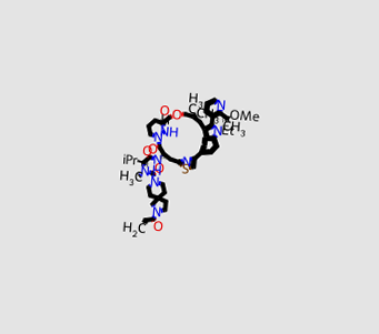 C=CC(=O)N1CCC2(CCN(C(=O)N(C)[C@H](C(=O)N[C@H]3Cc4nc(cs4)-c4ccc5c(c4)c(c(-c4cccnc4[C@H](C)OC)n5CC)CC(C)(C)COC(=O)[C@@H]4CCCN(N4)C3=O)C(C)C)CC2)C1